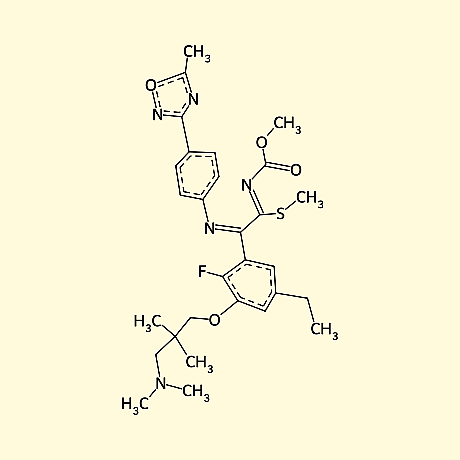 CCc1cc(OCC(C)(C)CN(C)C)c(F)c(C(=Nc2ccc(-c3noc(C)n3)cc2)C(=NC(=O)OC)SC)c1